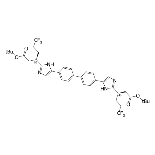 CC(C)(C)OC(=O)C[C@@H](CCC(F)(F)F)c1ncc(-c2ccc(-c3ccc(-c4cnc([C@H](CCC(F)(F)F)CC(=O)OC(C)(C)C)[nH]4)cc3)cc2)[nH]1